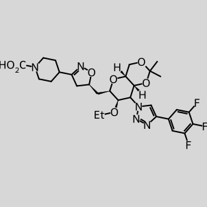 CCO[C@@H]1C(n2cc(-c3cc(F)c(F)c(F)c3)nn2)[C@H]2OC(C)(C)OC[C@H]2O[C@@H]1C[C@H]1CC(C2CCN(C(=O)O)CC2)=NO1